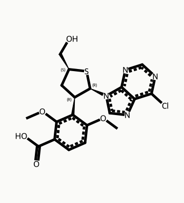 COc1ccc(C(=O)O)c(OC)c1[C@H]1C[C@@H](CO)S[C@H]1n1cnc2c(Cl)ncnc21